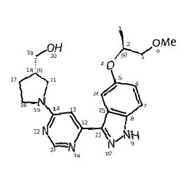 COC[C@H](C)Oc1ccc2[nH]nc(-c3cc(N4CC[C@H](CO)C4)ncn3)c2c1